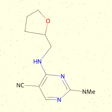 CNc1ncc(C#N)c(NCC2CCCO2)n1